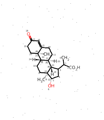 [CH2]C(C(=O)O)C1C[C@H](O)[C@@]2(C)CC[C@H]3[C@@H](CCC4=CC(=O)CC[C@@]43C)[C@H]12